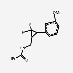 COc1cccc(C2C(CNC(=O)C(C)C)C2(F)F)c1